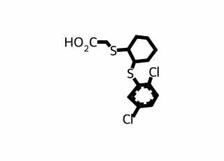 O=C(O)CSC1CCCCC1Sc1cc(Cl)ccc1Cl